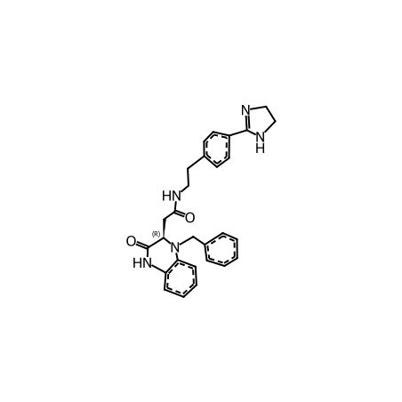 O=C(C[C@@H]1C(=O)Nc2ccccc2N1Cc1ccccc1)NCCc1ccc(C2=NCCN2)cc1